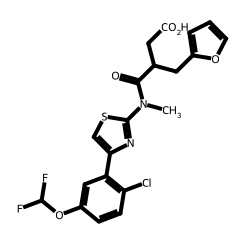 CN(C(=O)C(CC(=O)O)Cc1ccco1)c1nc(-c2cc(OC(F)F)ccc2Cl)cs1